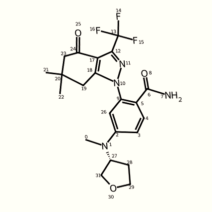 CN(c1ccc(C(N)=O)c(-n2nc(C(F)(F)F)c3c2CC(C)(C)CC3=O)c1)[C@@H]1CCOC1